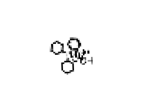 C1CCC(PC2CCCCC2)CC1.O=S(=O)(O)c1ccccc1